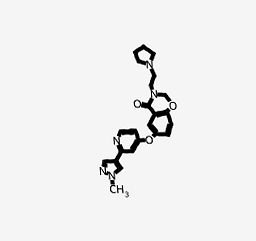 Cn1cc(-c2cc(Oc3ccc4c(c3)C(=O)N(CCN3CCCC3)CO4)ccn2)cn1